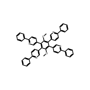 COc1c(-c2ccc(-c3ccccc3)nc2)c(-c2ccc(-c3ccccc3)nc2)c(OC)c(-c2ccc(-c3ccccc3)nc2)c1-c1ccc(-c2ccccc2)nc1